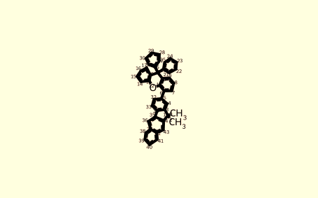 CC1(C)c2cc(-c3cccc4c3Oc3ccccc3C4(c3ccccc3)c3ccccc3)ccc2-c2cc3ccccc3cc21